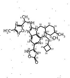 Cc1noc(C(C)Nc2nc3nc(-c4nc(=O)o[nH]4)nc(N[C@H](C)C4CCC4)c3n2CC2CCC(C)CC2)n1